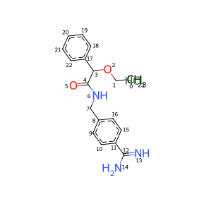 CCOC(C(=O)NCc1ccc(C(=N)N)cc1)c1ccccc1.Cl